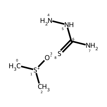 C[S+](C)[O-].NNC(N)=S